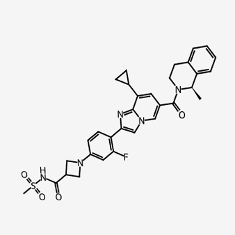 C[C@@H]1c2ccccc2CCN1C(=O)c1cc(C2CC2)c2nc(-c3ccc(N4CC(C(=O)NS(C)(=O)=O)C4)cc3F)cn2c1